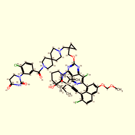 COCOc1cc(-c2ncc3c(N4CCC[C@@](C)(O)C4)nc(OCC4(CN5CCC6(CC5)CCN(C(=O)c5ccc(Cl)c(N7CCC(=O)NC7=O)c5)CC6)CC4)nc3c2F)c2c(C#C[Si](C(C)C)(C(C)C)C(C)C)c(F)ccc2c1